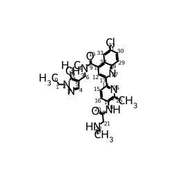 CCn1ncc(CN(C)C(=O)c2cc(-c3ccc(NC(=O)CNC)c(C)n3)nc3ccc(Cl)cc23)c1C